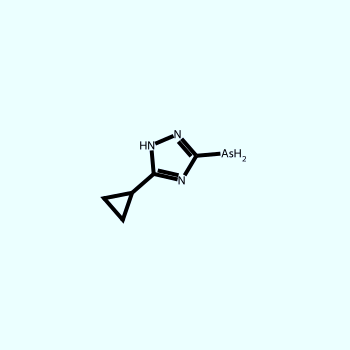 [AsH2]c1n[nH]c(C2CC2)n1